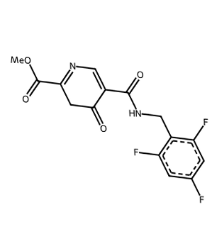 COC(=O)C1=NC=C(C(=O)NCc2c(F)cc(F)cc2F)C(=O)C1